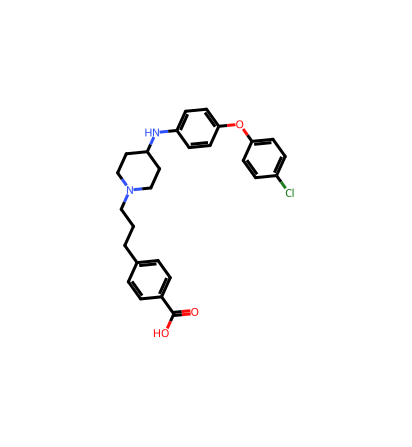 O=C(O)c1ccc(CCCN2CCC(Nc3ccc(Oc4ccc(Cl)cc4)cc3)CC2)cc1